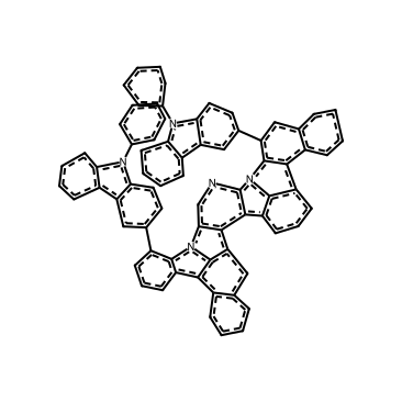 c1ccc(-n2c3ccccc3c3cc(-c4cccc5c6c7ccccc7cc7c8c9c%10cccc%11c%12c%13ccccc%13cc(-c%13ccc%14c(c%13)c%13ccccc%13n%14-c%13ccccc%13)c%12n(c9ncc8n(c45)c76)c%10%11)ccc32)cc1